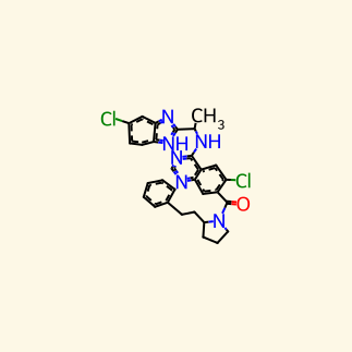 CC(Nc1ncnc2cc(C(=O)N3CCCC3CCc3ccccc3)c(Cl)cc12)c1nc2cc(Cl)ccc2[nH]1